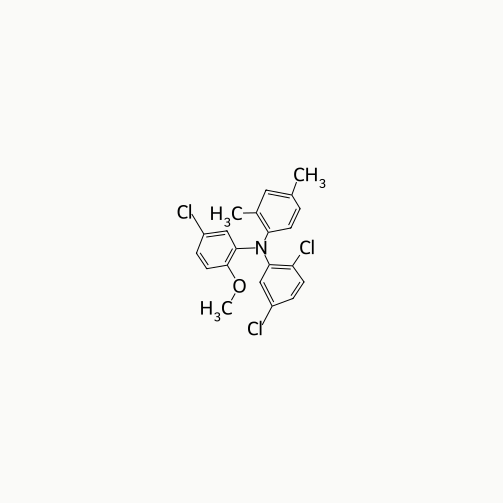 COc1ccc(Cl)cc1N(c1ccc(C)cc1C)c1cc(Cl)ccc1Cl